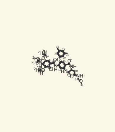 [2H]C([2H])([2H])Oc1cc(C(=O)Nc2cc3c(cc2Oc2cc(C)cc(C)c2)C(=O)NC(CC(=O)NCOC)C(=O)N3)c(Cl)c(OC([2H])([2H])[2H])c1OC([2H])([2H])[2H]